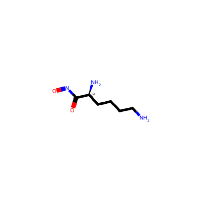 NCCCC[C@H](N)C(=O)N=O